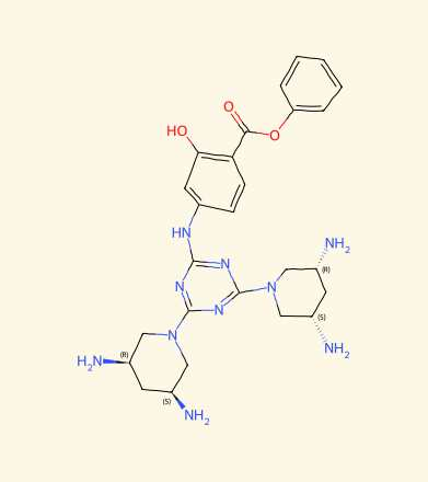 N[C@@H]1C[C@H](N)CN(c2nc(Nc3ccc(C(=O)Oc4ccccc4)c(O)c3)nc(N3C[C@H](N)C[C@H](N)C3)n2)C1